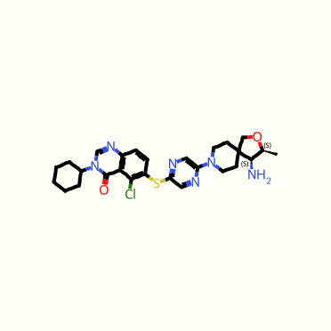 C[C@@H]1OCC2(CCN(c3cnc(Sc4ccc5ncn(C6CCCCC6)c(=O)c5c4Cl)cn3)CC2)[C@@H]1N